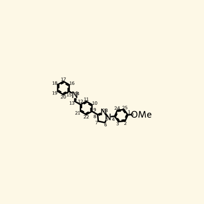 COc1ccc(N2CCC(c3ccc(C=Nc4ccccc4)cc3)=N2)cc1